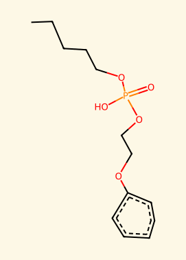 CCCCCOP(=O)(O)OCCOc1ccccc1